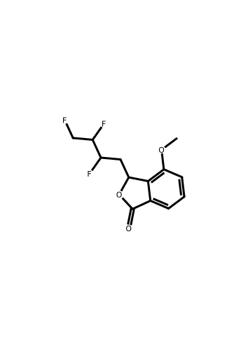 COc1cccc2c1C(CC(F)C(F)CF)OC2=O